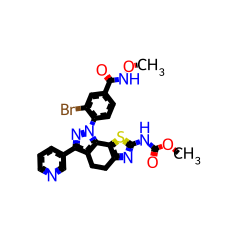 CONC(=O)c1ccc(-n2nc(-c3cccnc3)c3c2-c2sc(NC(=O)OC)nc2CC3)c(Br)c1